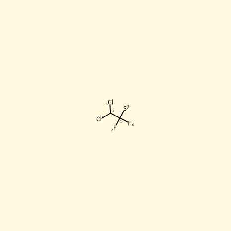 FC(F)([S])C(Cl)Cl